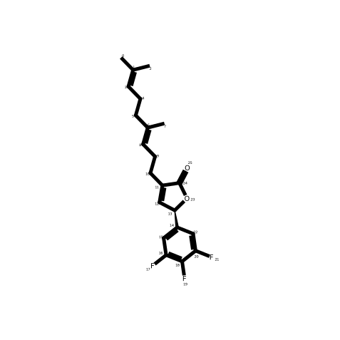 CC(C)=CCC/C(C)=C/CCC1=C[C@H](c2cc(F)c(F)c(F)c2)OC1=O